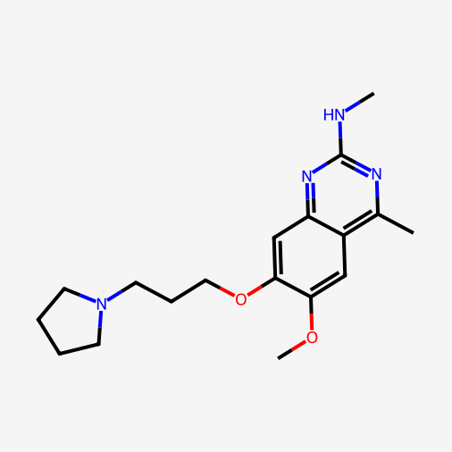 CNc1nc(C)c2cc(OC)c(OCCCN3CCCC3)cc2n1